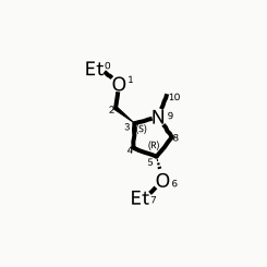 CCOC[C@@H]1C[C@@H](OCC)CN1C